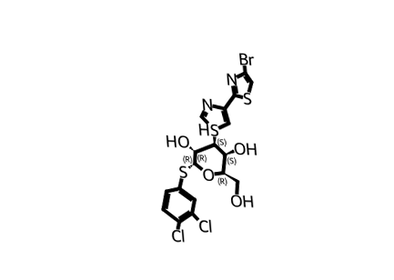 OC[C@H]1O[C@H](Sc2ccc(Cl)c(Cl)c2)[C@H](O)[C@@H]([SH]2C=NC(c3nc(Br)cs3)=C2)[C@H]1O